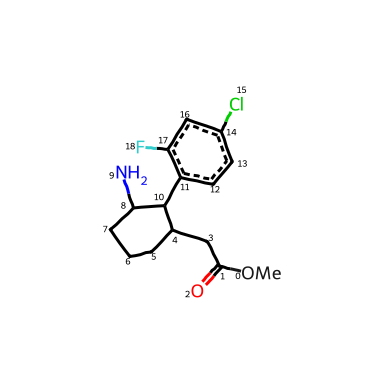 COC(=O)CC1CCCC(N)C1c1ccc(Cl)cc1F